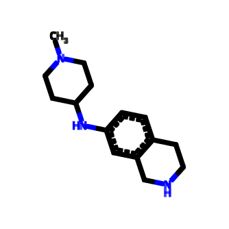 CN1CCC(Nc2ccc3c(c2)CNCC3)CC1